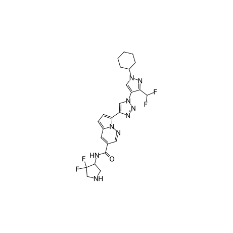 O=C(NC1CNCC1(F)F)c1cnn2c(-c3cn(-c4cn(C5CCCCC5)nc4C(F)F)nn3)ccc2c1